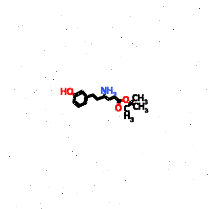 CC(C)(C)OC(=O)CCC(N)CCc1cccc(O)c1